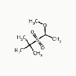 COC(C)S(=O)(=O)C(C)(C)C